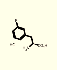 Cl.N[C@@H](Cc1cccc(F)c1)C(=O)O